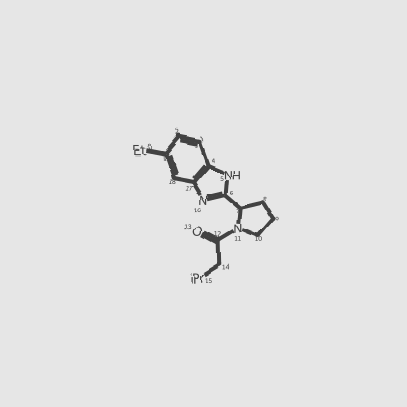 CCc1ccc2[nH]c(C3CCCN3C(=O)CC(C)C)nc2c1